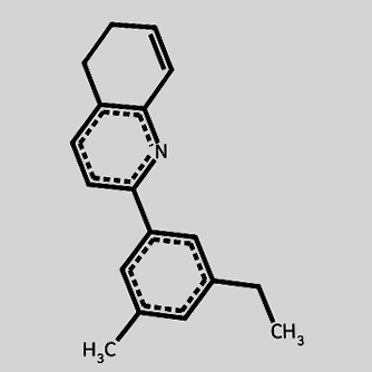 CCc1cc(C)cc(-c2ccc3c(n2)C=CCC3)c1